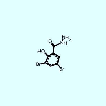 NNC(=O)c1cc(Br)cc(Br)c1O